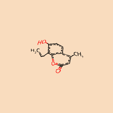 C=Cc1c(O)ccc2c(C)cc(=O)oc12